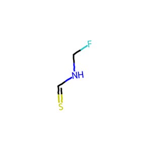 FCNC=S